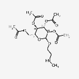 CNCCOC1O[C@H](COC(C)=O)[C@@H](OC(C)=O)[C@H](OC(C)=O)[C@H]1OC(C)=O